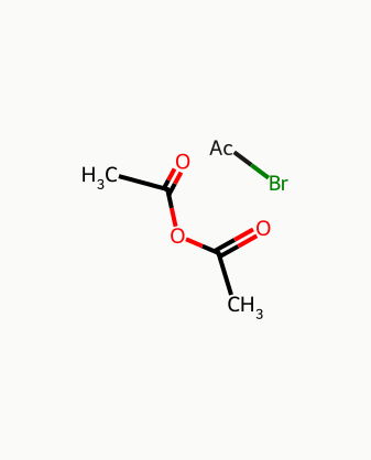 CC(=O)Br.CC(=O)OC(C)=O